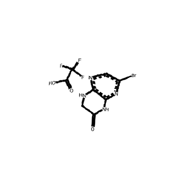 O=C(O)C(F)(F)F.O=C1CNc2ncc(Br)nc2N1